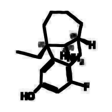 CC[C@]12CCCC[C@H](Cc3c(F)cc(O)cc31)[C@H]2N